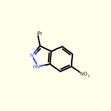 CC(C)c1n[nH]c2cc([N+](=O)[O-])ccc12